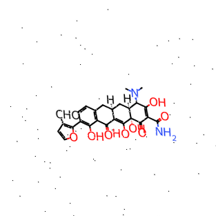 CN(C)[C@H]1C(O)=C(C(N)=O)C(=O)[C@@]2(O)C(O)=C3C(=O)c4c(ccc(-c5occc5C=O)c4O)C[C@H]3C[C@@H]12